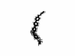 C=CCCCC1CCC(C2CCC(c3ccc(C(F)(F)Oc4ccc(OC=C(F)F)cc4)cc3)CC2)CC1